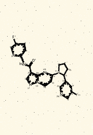 O=C(Nc1ccc(F)cn1)c1cnn2ccc(N3CCCC3c3cncc(F)c3)nc12